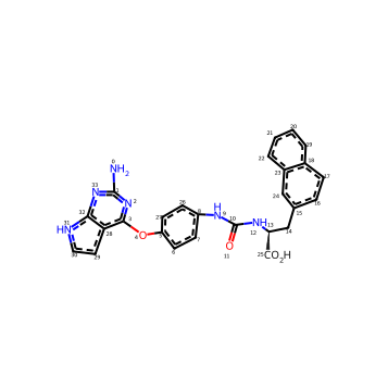 Nc1nc(Oc2ccc(NC(=O)N[C@@H](Cc3ccc4ccccc4c3)C(=O)O)cc2)c2cc[nH]c2n1